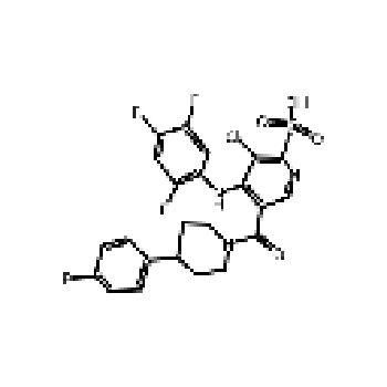 O=C(c1cnc(S(=O)(=O)O)c(Cl)c1Nc1cc(F)c(F)cc1F)N1CCC(c2ccc(F)cc2)CC1